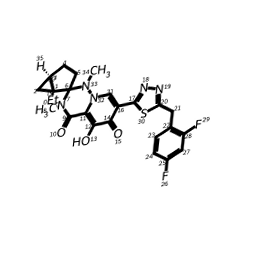 CC[C@]12C[C@H]1CCC21N(C)C(=O)c2c(O)c(=O)c(-c3nnc(Cc4ccc(F)cc4F)s3)cn2N1C